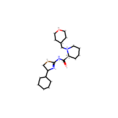 O=C(NC1=NC(C2CCCCC2)CS1)[C@@H]1CCCCN1CC1CCOCC1